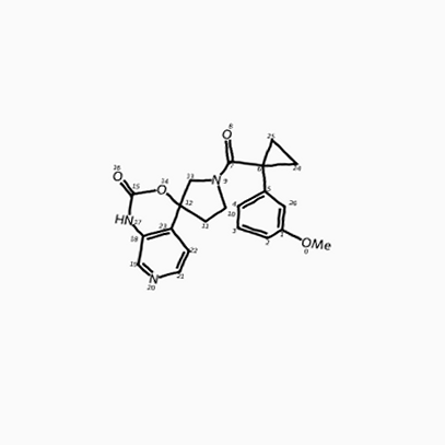 COc1cccc(C2(C(=O)N3CCC4(C3)OC(=O)Nc3cnccc34)CC2)c1